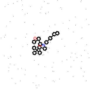 c1ccc(C2(c3ccccc3)c3ccccc3-c3c(-c4ccccc4N(c4ccc(-c5ccc(-c6ccc7ccccc7c6)cc5)cc4)c4cccc(-c5cccc6oc7ccccc7c56)c4)cccc32)cc1